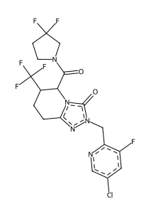 O=C(C1C(C(F)(F)F)CCc2nn(Cc3ncc(Cl)cc3F)c(=O)n21)N1CCC(F)(F)C1